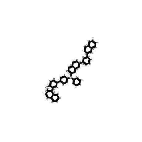 c1ccc(N(c2ccc(-c3ccc4oc5ccc6ccccc6c5c4c3)cc2)c2ccc3ccc(-c4cccc(-c5ccc6ccccc6c5)c4)cc3c2)cc1